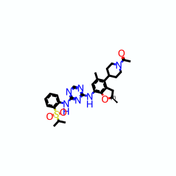 CC(=O)N1CCC(c2c(C)cc(Nc3ncnc(Nc4ccccc4S(=O)(=O)C(C)C)n3)c3c2C[C@@H](C)O3)CC1